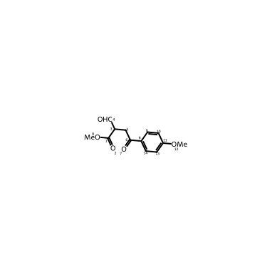 COC(=O)C(C=O)CC(=O)c1ccc(OC)cc1